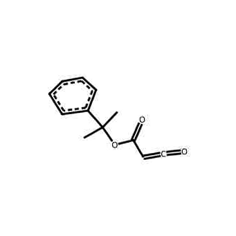 CC(C)(OC(=O)C=C=O)c1ccccc1